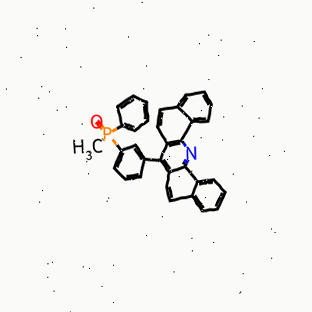 CP(=O)(c1ccccc1)c1cccc(-c2c3ccc4ccccc4c3nc3c2ccc2ccccc23)c1